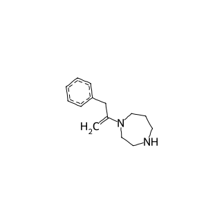 C=C(Cc1ccccc1)N1CCCNCC1